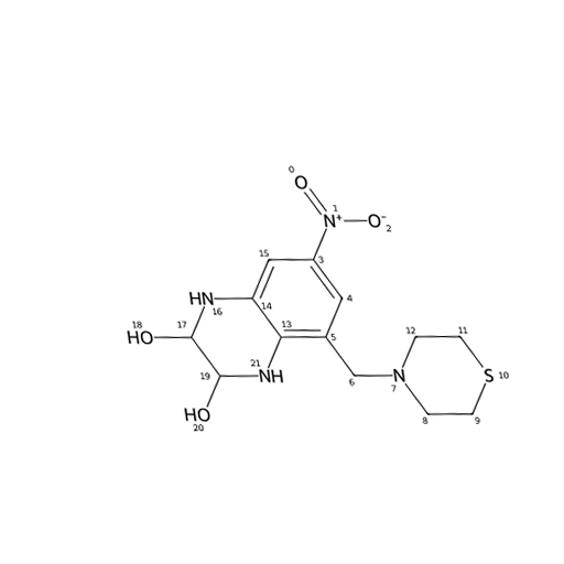 O=[N+]([O-])c1cc(CN2CCSCC2)c2c(c1)NC(O)C(O)N2